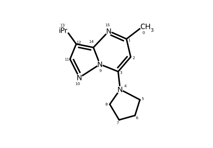 Cc1cc(N2CCCC2)n2ncc(C(C)C)c2n1